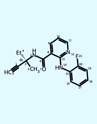 C#C[C@@](C)(CC)NC(=O)c1cccnc1Nc1ccccc1F